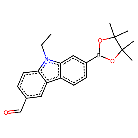 CCn1c2ccc(C=O)cc2c2ccc(B3OC(C)(C)C(C)(C)O3)cc21